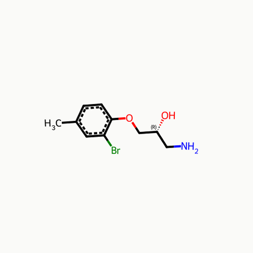 Cc1ccc(OC[C@H](O)CN)c(Br)c1